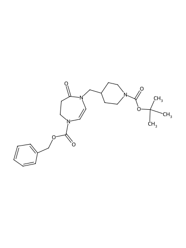 CC(C)(C)OC(=O)N1CCC(CN2C=CN(C(=O)OCc3ccccc3)CCC2=O)CC1